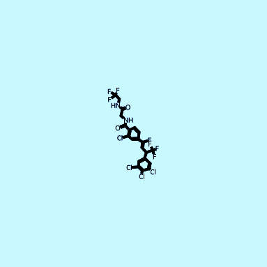 O=C(CNC(=O)c1ccc(C(F)=CC(c2cc(Cl)c(Cl)c(Cl)c2)C(F)(F)F)cc1Cl)NCC(F)(F)F